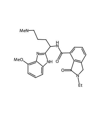 CCN1Cc2cccc(C(=O)NC(CCCNC)c3nc4c(OC)cccc4[nH]3)c2C1=O